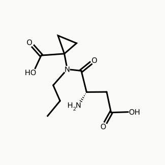 CCCN(C(=O)[C@@H](N)CC(=O)O)C1(C(=O)O)CC1